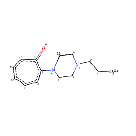 CC(=O)OCCN1CCN(c2cccccc2=O)CC1